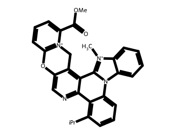 COC(=O)c1cccc2[n+]1Cc1c(cnc3c4c(C(C)C)cccc4n4c5ccccc5[n+](C)c4c13)O2